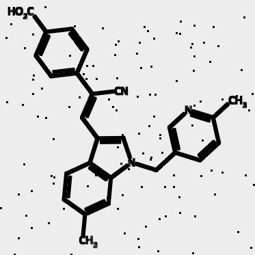 Cc1ccc2c(/C=C(\C#N)c3ccc(C(=O)O)cc3)cn(Cc3ccc(C)nc3)c2c1